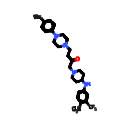 CC(C)(C)c1ccc(N2CCN(CCC(=O)CN3CCC(Nc4ccc([N+](=O)[O-])c(C(F)(F)F)c4)CC3)CC2)cc1